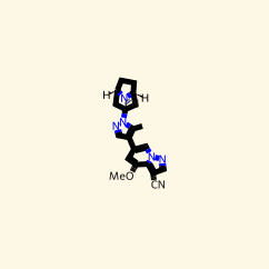 COc1cc(-c2cnn(C3C[C@H]4CC[C@@H](C3)N4C#N)c2C)cn2ncc(C#N)c12